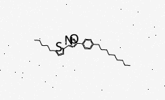 CCCCCCCCCc1ccc(-c2cc(-c3ccc(CCCCC)s3)no2)cc1